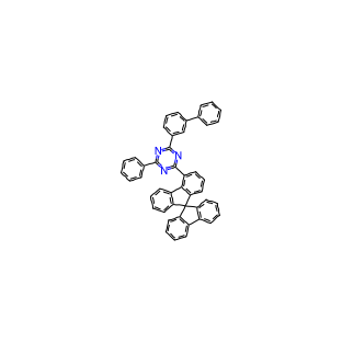 c1ccc(-c2cccc(-c3nc(-c4ccccc4)nc(-c4cccc5c4-c4ccccc4C54c5ccccc5-c5ccccc54)n3)c2)cc1